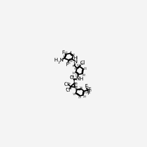 Nc1c(F)ccc(NCc2cc(NC(=O)[C@H]3[C@H](c4cccc(C(F)(F)F)c4)C3(Cl)Cl)ccc2Cl)c1F